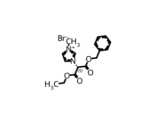 CCOC(=O)[C@@H](C(=O)OCc1ccccc1)n1cc[n+](C)c1.[Br-]